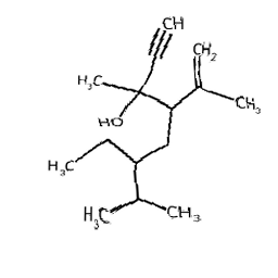 C#CC(C)(O)C(CC(CC)C(C)C)C(=C)C